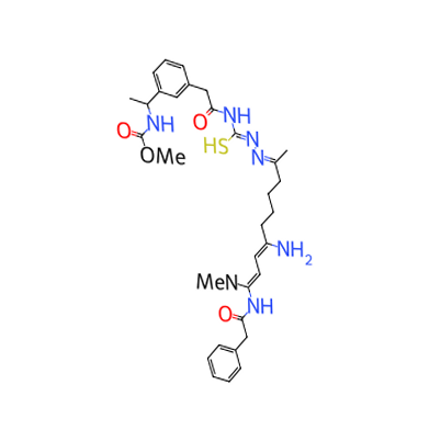 CN/C(=C\C=C(/N)CCCC/C(C)=N/N=C(\S)NC(=O)Cc1cccc(C(C)NC(=O)OC)c1)NC(=O)Cc1ccccc1